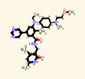 CCN(c1cc(-c2cncnc2)cc(C(=O)NCc2c(C)cc(C)[nH]c2=O)c1C)[C@H]1CC[C@H](N(C)CCOC)CC1